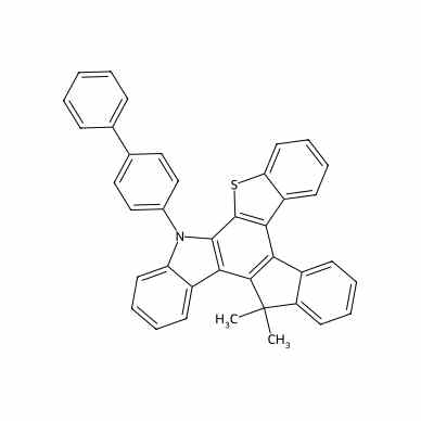 CC1(C)c2ccccc2-c2c1c1c3ccccc3n(-c3ccc(-c4ccccc4)cc3)c1c1sc3ccccc3c21